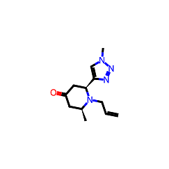 C=CCN1[C@@H](C)CC(=O)C[C@H]1c1cn(C)nn1